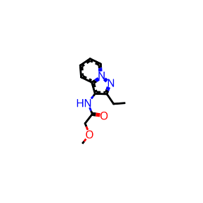 CCc1nn2ccccc2c1NC(=O)COC